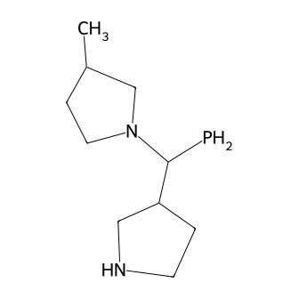 CC1CCN(C(P)C2CCNC2)C1